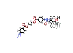 CC(C)C(=O)C1C(C(=O)O)C(C(=O)Nc2ccc(C(=O)OCCCOC(=O)c3ccc(N)cc3)cc2)C1C(=O)O